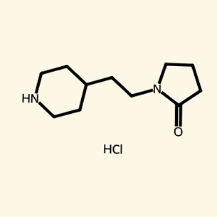 Cl.O=C1CCCN1CCC1CCNCC1